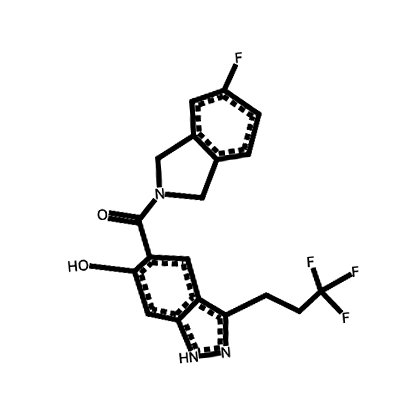 O=C(c1cc2c(CCC(F)(F)F)n[nH]c2cc1O)N1Cc2ccc(F)cc2C1